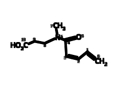 C=C/C=C\C(=O)N(C)CCC(=O)O